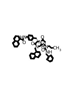 CCCN(C(=O)NCc1ccccc1)N1CC(=O)N2[C@@H](Cc3ccc(NC(=O)c4cccc5ccccc45)cc3)C(=O)N(Cc3cccc4ccccc34)C[C@@H]21